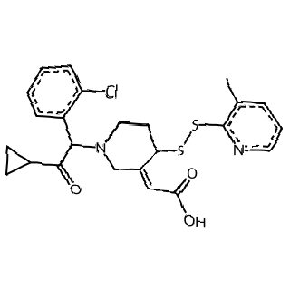 Cc1cccnc1SSC1CCN(C(C(=O)C2CC2)c2ccccc2Cl)C/C1=C/C(=O)O